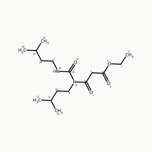 CCOC(=O)CC(=O)N(CCC(C)C)C(=O)NCCC(C)C